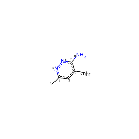 CCCc1cc(C)nnc1N